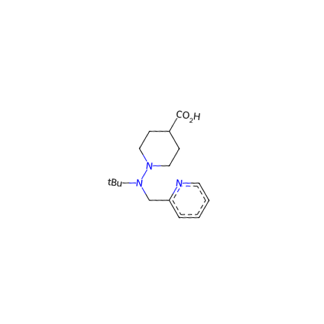 CC(C)(C)N(Cc1ccccn1)N1CCC(C(=O)O)CC1